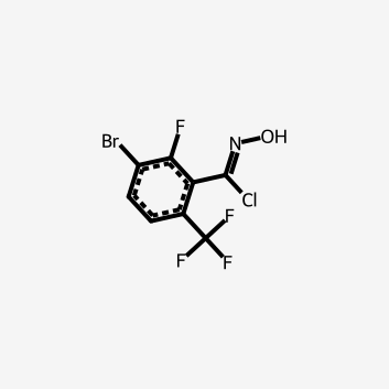 ON=C(Cl)c1c(C(F)(F)F)ccc(Br)c1F